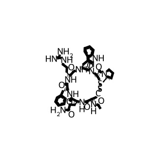 CC(=O)N[C@H]1CCSSC[C@@H](C(=O)N2CCC[C@H]2C)NC(=O)[C@H](Cc2c[nH]c3ccccc23)NC(=O)[C@H](CCCNC(=N)N)NC(=O)[C@@H](Cc2ccccc2)NC(=O)[C@H](CCC(N)=O)NC1=O